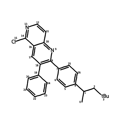 CC(CC(C)(C)C)c1ccc(-c2nc3ccnc(Cl)c3cc2-c2ccccc2)cc1